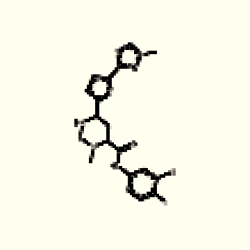 CN1SNC(c2ccc(-c3ncn(C)n3)s2)CC1C(=O)Nc1ccc(F)c(Cl)c1